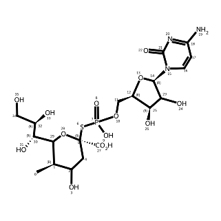 C[C@@H]1C(O)C[C@@](SP(=O)(O)OC[C@H]2O[C@@H](n3ccc(N)nc3=O)C(O)[C@H]2O)(C(=O)O)OC1[C@H](O)[C@H](O)CO